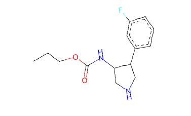 CCCOC(=O)NC1CNCC1c1cccc(F)c1